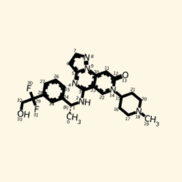 C[C@@H](Nc1nc2ccnn2c2cc(=O)n(C3CCN(C)CC3)cc12)c1cccc(C(F)(F)CO)c1